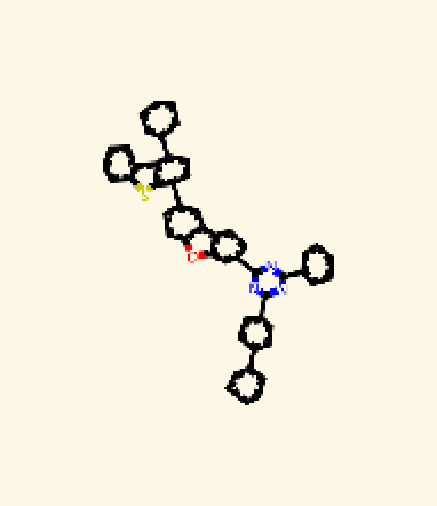 c1ccc(-c2ccc(-c3nc(-c4ccccc4)nc(-c4ccc5c(c4)oc4ccc(-c6ccc(-c7ccccc7)c7c6sc6ccccc67)cc45)n3)cc2)cc1